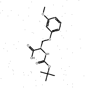 COc1cccc(OC[C@@H](NC(=O)OC(C)(C)C)C(=O)O)c1